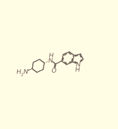 N[C@H]1CC[C@H](NC(=O)c2ccc3cc[nH]c3c2)CC1